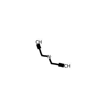 C#CC[N]CC#C